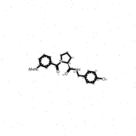 CNc1cccc(C(=O)N2CCC[C@H]2C(=O)NCc2ccc(Cl)cc2)c1